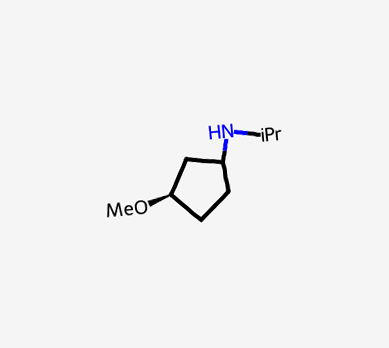 CO[C@@H]1CCC(NC(C)C)C1